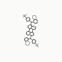 C[Si](C)(C)c1ccc(N(c2cccc3c2CCCC3)c2ccc3c4cccc5c(N(c6ccc([Si](C)(C)C)cc6)c6cccc7c6CCCC7)ccc(c6cccc2c63)c54)cc1